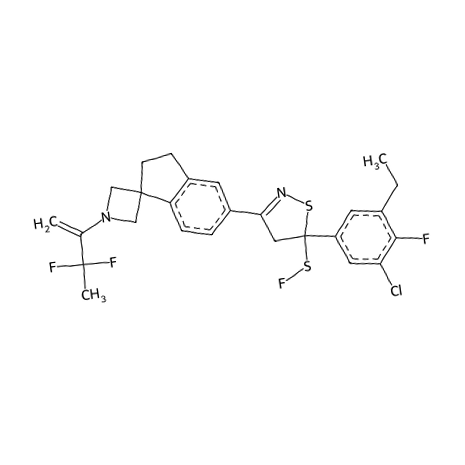 C=C(N1CC2(CCc3cc(C4=NSC(SF)(c5cc(Cl)c(F)c(CC)c5)C4)ccc32)C1)C(C)(F)F